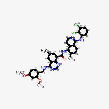 COc1ccc(CNc2ncnc3c(C(=O)Nc4c(C)ccc5c(Nc6cccc(Cl)c6F)nccc45)cc(C)cc23)c(OC)c1